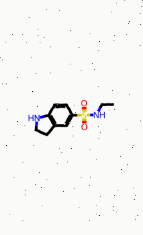 CCNS(=O)(=O)c1ccc2c(c1)CCN2